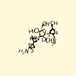 C#Cc1cnc(C#N)c(S[C@H]2O[C@H](CO)[C@H](O)[C@H](n3cc(-c4csc(N)n4)nn3)[C@H]2OC)c1